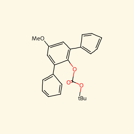 COc1cc(-c2ccccc2)c(OC(=O)OC(C)(C)C)c(-c2ccccc2)c1